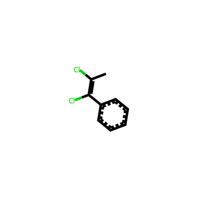 C/C(Cl)=C(/Cl)c1ccccc1